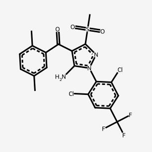 Cc1ccc(C)c(C(=O)c2c(S(C)(=O)=O)nn(-c3c(Cl)cc(C(F)(F)F)cc3Cl)c2N)c1